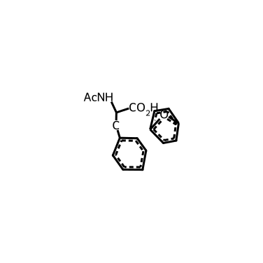 CC(=O)NC(Cc1ccccc1)C(=O)O.c1cc2ccc1o2